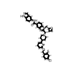 O=C(Nc1ccc2[nH]ncc2c1)c1ccc2c(c1)nc(CN1CCC(c3cccc(OCc4ccc(Cl)cc4F)n3)CC1)n2C[C@@H]1CCO1